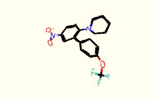 O=[N+]([O-])c1ccc(N2CCCCC2)c(-c2ccc(OC(F)(F)F)cc2)c1